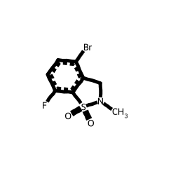 CN1Cc2c(Br)ccc(F)c2S1(=O)=O